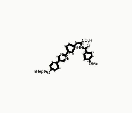 CCCCCCCOc1ccc(-c2cnc(-c3ccc(C[C@H](NC(=O)c4ccc(OC)cc4)C(=O)O)cc3)nc2)cc1